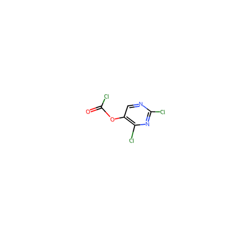 O=C(Cl)Oc1cnc(Cl)nc1Cl